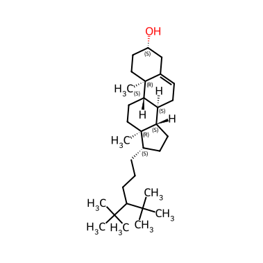 CC(C)(C)C(CCC[C@H]1CC[C@H]2[C@@H]3CC=C4C[C@@H](O)CC[C@]4(C)[C@H]3CC[C@]12C)C(C)(C)C